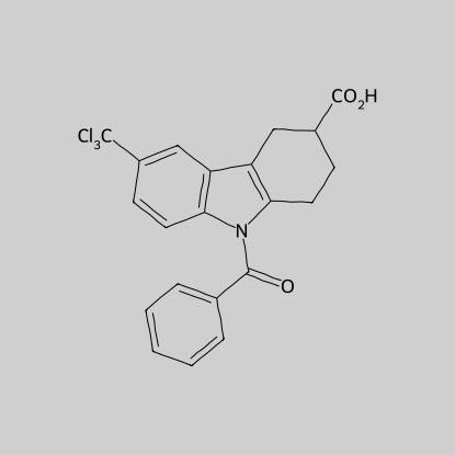 O=C(O)C1CCc2c(c3cc(C(Cl)(Cl)Cl)ccc3n2C(=O)c2ccccc2)C1